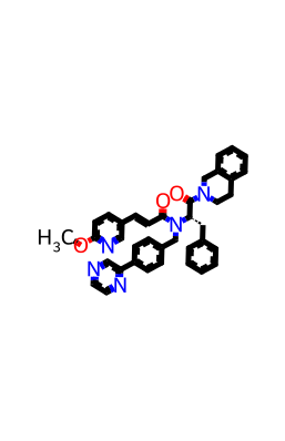 COc1ccc(C=CC(=O)N(Cc2ccc(-c3cnccn3)cc2)[C@@H](Cc2ccccc2)C(=O)N2CCc3ccccc3C2)cn1